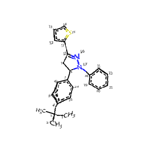 CC(C)(C)c1ccc(C2CC(c3cccs3)=NN2c2ccccc2)cc1